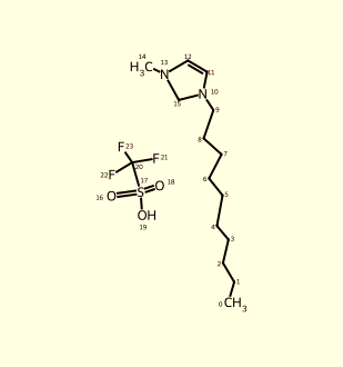 CCCCCCCCCCN1C=CN(C)C1.O=S(=O)(O)C(F)(F)F